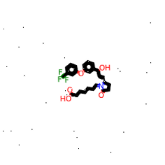 O=C(O)CCCCCCN1C(=O)CC[C@@H]1C=CC(O)c1cccc(Oc2cccc(C(F)(F)F)c2)c1